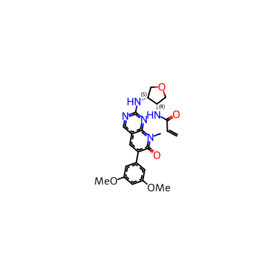 C=CC(=O)N[C@H]1COC[C@H]1Nc1ncc2cc(-c3cc(OC)cc(OC)c3)c(=O)n(C)c2n1